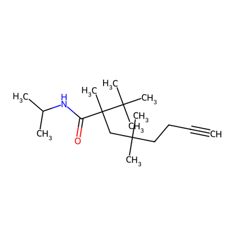 C#CCCC(C)(C)CC(C)(C(=O)NC(C)C)C(C)(C)C